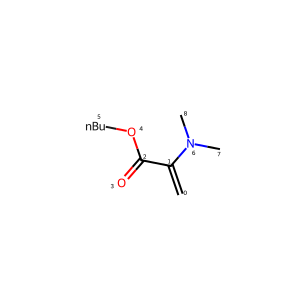 C=C(C(=O)OCCCC)N(C)C